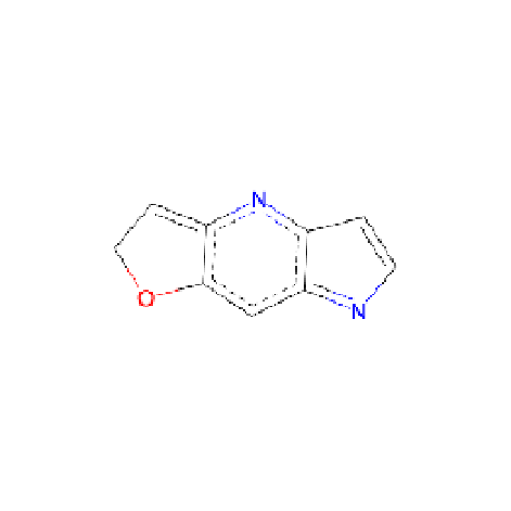 C1=Cc2nc3c(cc2=N1)OCC=3